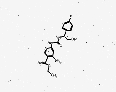 CCOC(=N)c1cnc(NC(=O)N[C@H](CO)c2ccc(F)cc2)cc1N